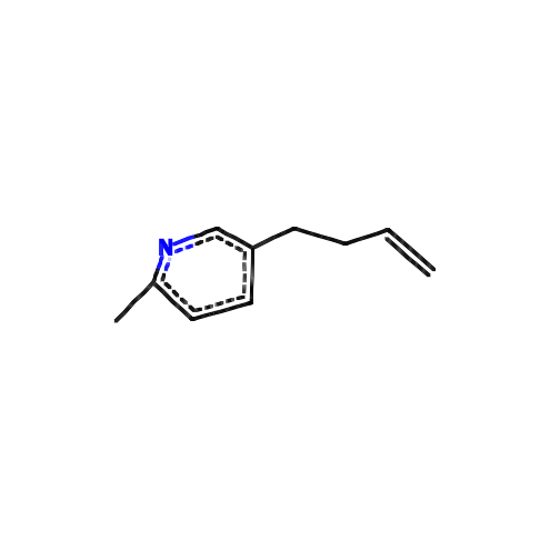 C=CCCc1ccc(C)nc1